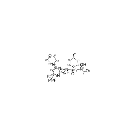 C[C@H]1CC[C@@](CN(O)C=O)(C(=O)NNc2nc(N3CCOCC3)cc(C(F)(F)F)n2)CC1